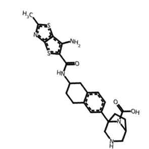 Cc1nc2sc(C(=O)NC3CCc4cc(C56CCC(CNC5)N6C(=O)O)ccc4C3)c(N)c2s1